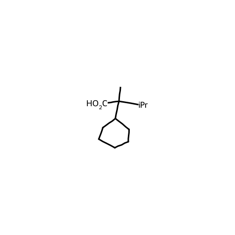 CC(C)C(C)(C(=O)O)C1CCCCC1